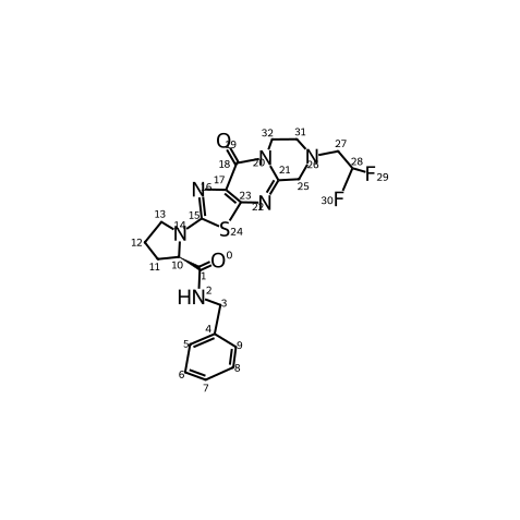 O=C(NCc1ccccc1)[C@H]1CCCN1c1nc2c(=O)n3c(nc2s1)CN(CC(F)F)CC3